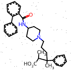 CC(C(=O)O)C(C)(CCCN1CCC(NC(=O)c2ccccc2-c2ccccc2)CC1)c1ccccc1